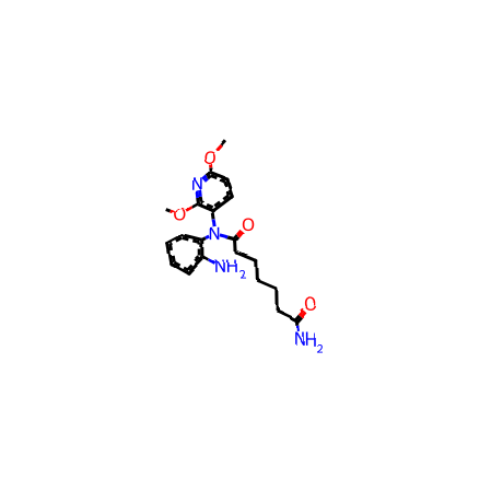 COc1ccc(N(C(=O)CCCCCC(N)=O)c2ccccc2N)c(OC)n1